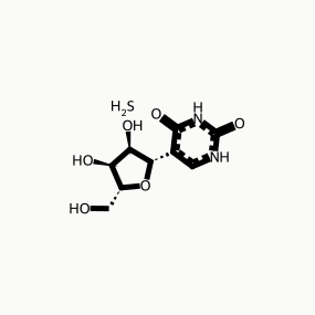 O=c1[nH]cc([C@@H]2O[C@H](CO)[C@@H](O)[C@H]2O)c(=O)[nH]1.S